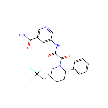 NC(=O)c1cncc(NC(=O)C(=O)N2C[C@@H](CC(F)(F)F)CC[C@H]2c2ccccc2)c1